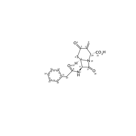 C=C1C(=O)S[C@@H]2[C@H](NC(=O)Cc3ccccc3)C(=O)N2[C@H]1C(=O)O